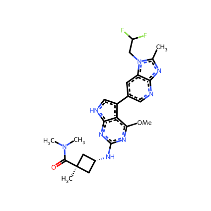 COc1nc(N[C@H]2C[C@](C)(C(=O)N(C)C)C2)nc2[nH]cc(-c3cnc4nc(C)n(CC(F)F)c4c3)c12